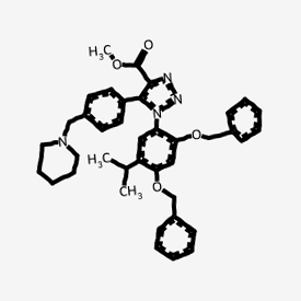 COC(=O)c1nnn(-c2cc(C(C)C)c(OCc3ccccc3)cc2OCc2ccccc2)c1-c1ccc(CN2CCCCC2)cc1